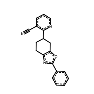 N#Cc1cccnc1C1CCc2nc(-c3ccccc3)oc2C1